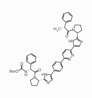 [CH2][C@@H](C(=O)N1CCC[C@H]1c1ncc(-c2ccc(-c3ccc(-c4cnc([C@@H]5CCCN5C(=O)[C@H](NC(=O)OC)c5ccccc5)[nH]4)cc3)nn2)[nH]1)c1ccccc1